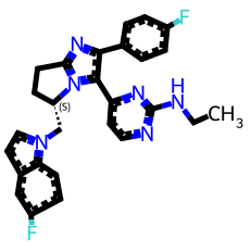 CCNc1nccc(-c2c(-c3ccc(F)cc3)nc3n2[C@H](Cn2ccc4cc(F)ccc42)CC3)n1